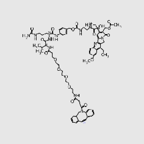 CCc1c2c(nc3ccc(OC)cc13)-c1cc([C@@](O)(CC)C(=O)NCCNC(=O)OCc3ccc(NC(=O)[C@H](CCCNC(N)=O)NC(=O)[C@@H](NC(=O)CCOCCOCCOCCOCCNC(=O)CCC(=O)N4Cc5ccccc5/C=C\c5ccccc54)C(C)C)cc3)c(COC(C)=O)c(=O)n1C2